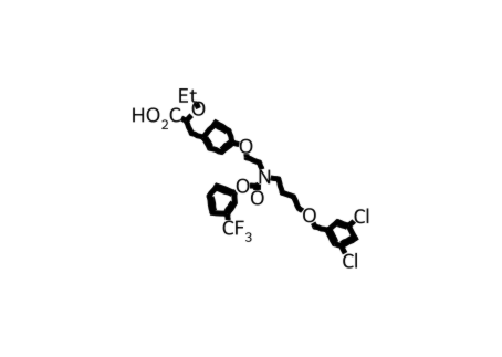 CCOC(Cc1ccc(OCCN(CCCCOCc2cc(Cl)cc(Cl)c2)C(=O)Oc2cccc(C(F)(F)F)c2)cc1)C(=O)O